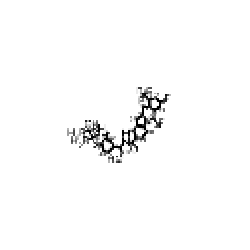 BC(B)(O)C(B)(B)Sc1ccc(C(CO)NC(=O)c2ccc3c(c2)cc(Cc2ccc(F)cc2C(F)(F)F)n3CCF)cc1